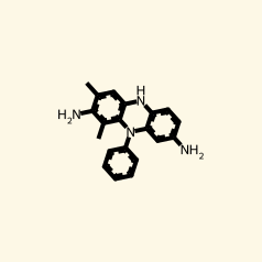 Cc1cc2c(c(C)c1N)N(c1ccccc1)c1cc(N)ccc1N2